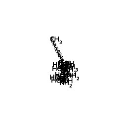 CCCCCCCCCCCCCCCC(=O)NCC(OC(OC1C(N)C[C@H](N)C(OC2OC(CO)C(O)C(N)C2O)C1O)[C@@H](O)CO)[C@H](C)O